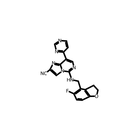 N#Cc1cn2c(NCc3c(F)ccc4c3CCO4)ncc(-c3ccncn3)c2n1